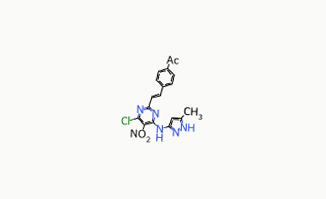 CC(=O)c1ccc(/C=C/c2nc(Cl)c([N+](=O)[O-])c(Nc3cc(C)[nH]n3)n2)cc1